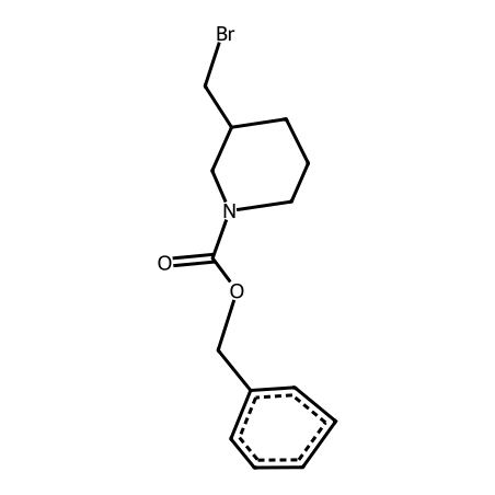 O=C(OCc1ccccc1)N1CCCC(CBr)C1